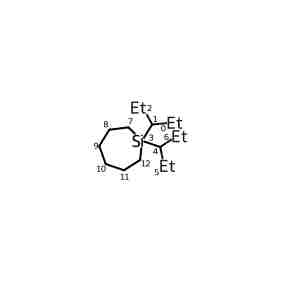 CCC(CC)[Si]1(C(CC)CC)CCCCCC1